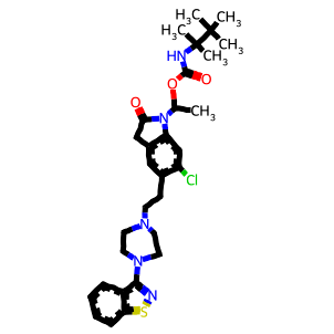 CC(OC(=O)NC(C)(C)C(C)(C)C)N1C(=O)Cc2cc(CCN3CCN(c4nsc5ccccc45)CC3)c(Cl)cc21